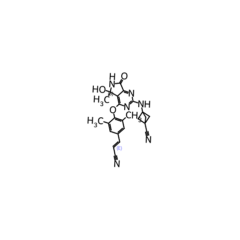 Cc1cc(/C=C/C#N)cc(C)c1Oc1nc(NC23CC(C#N)(C2)C3)nc2c1[C@](C)(O)NC2=O